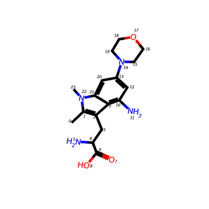 Cc1c(CC(N)C(=O)O)c2c(N)cc(N3CCOCC3)cc2n1C